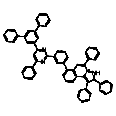 C1=C(c2ccccc2)N2NC(c3ccccc3)C(c3ccccc3)=C2c2cccc(-c3cccc(-c4nc(-c5ccccc5)cc(-c5cc(-c6ccccc6)cc(-c6ccccc6)c5)n4)c3)c21